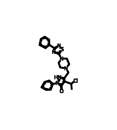 CC(Cl)c1c(CN2CCN(c3nc(-c4ccccc4)ns3)CC2)[nH]n(-c2ccccc2)c1=O